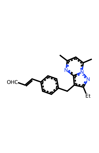 CCc1nn2c(C)cc(C)nc2c1Cc1ccc(/C=C/C=O)cc1